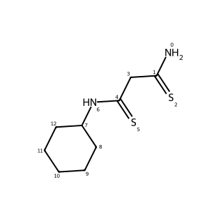 NC(=S)CC(=S)NC1CCCCC1